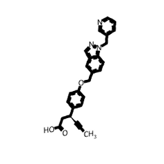 CC#C[C@@H](CC(=O)O)c1ccc(OCc2ccc3c(cnn3Cc3cccnc3)c2)cc1